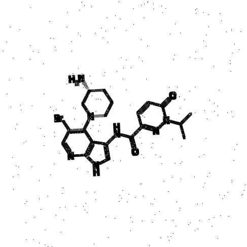 CC(C)n1nc(C(=O)Nc2c[nH]c3ncc(Br)c(N4CCC[C@@H](N)C4)c23)ccc1=O